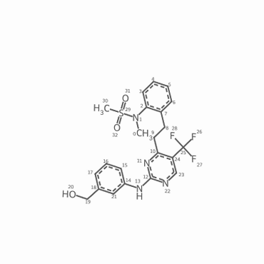 CN(c1ccccc1CCc1nc(Nc2cccc(CO)c2)ncc1C(F)(F)F)S(C)(=O)=O